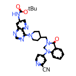 CC(C)(C)OC(=O)Nc1cnc2c(N3CCC(CN4CN(c5ccnc(C#N)c5)c5ccccc5C4=O)CC3)ncnc2c1